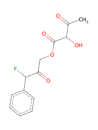 CC(=O)C(O)C(=O)OCC(=O)C(F)c1ccccc1